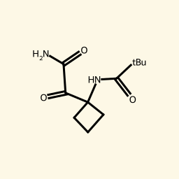 CC(C)(C)C(=O)NC1(C(=O)C(N)=O)CCC1